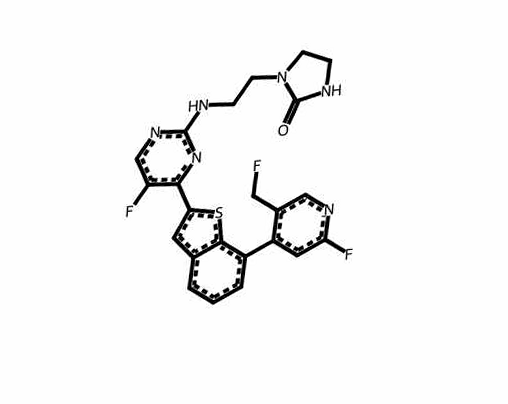 O=C1NCCN1CCNc1ncc(F)c(-c2cc3cccc(-c4cc(F)ncc4CF)c3s2)n1